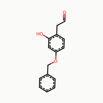 O=CCc1ccc(OCc2ccccc2)cc1O